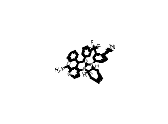 N#Cc1ccc(N2C(=O)N(c3ccnc(C(N)=O)c3C(Cc3ccccc3)c3ccccc3)[C@H]3CCCC[C@@H]32)cc1C(F)(F)F